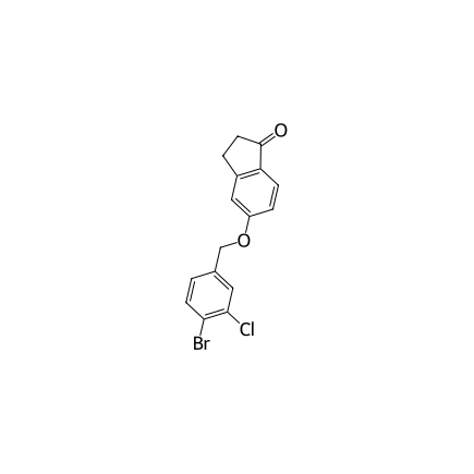 O=C1CCc2cc(OCc3ccc(Br)c(Cl)c3)ccc21